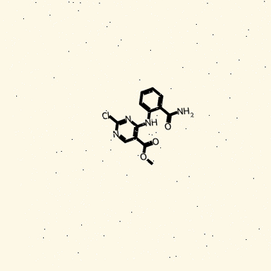 COC(=O)c1cnc(Cl)nc1Nc1ccccc1C(N)=O